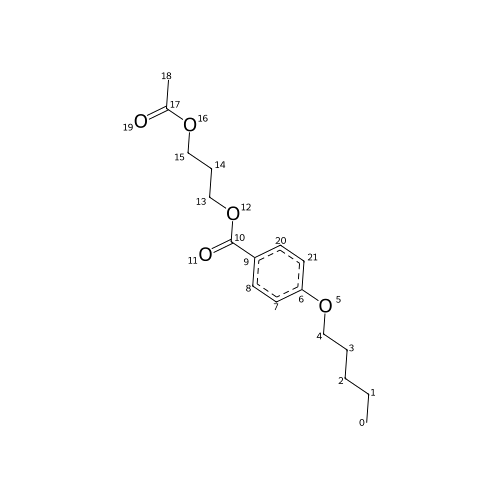 CCCCCOc1ccc(C(=O)OCCCOC(C)=O)cc1